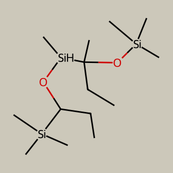 CCC(O[SiH](C)C(C)(CC)O[Si](C)(C)C)[Si](C)(C)C